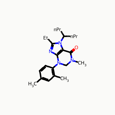 CCCC(CCC)n1c(CC)nc2c1C(=O)N(C)CN2c1ccc(C)cc1C